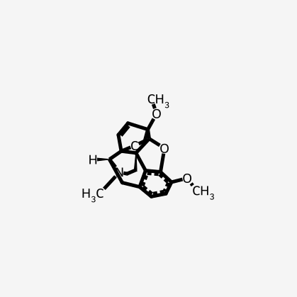 COc1ccc2c3c1OC1C4(OC)C=CC5(CC4)[C@@H](C2)N(C)CC[C@]315